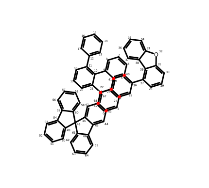 c1ccc(-c2ccccc2-c2c(-c3ccccc3)cccc2N(c2ccc(-c3cccc4oc5ccccc5c34)cc2)c2ccc3c(c2)C2(c4ccccc4-c4ccccc42)c2ccccc2-3)cc1